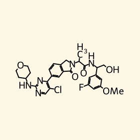 COc1cc(F)cc(C(CO)NC(=O)C(C)N2Cc3ccc(-c4nc(NC5CCOCC5)ncc4Cl)cc3C2=O)c1